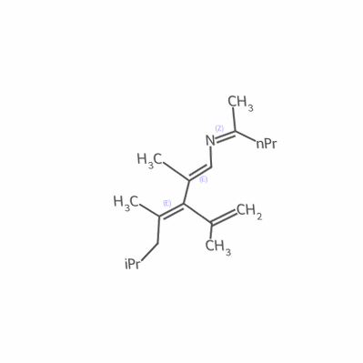 C=C(C)C(/C(C)=C/N=C(/C)CCC)=C(/C)CC(C)C